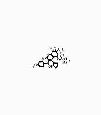 CC(C)c1nc2c(c(C3=CCCC3)c1C(O)c1ccc(C(F)(F)F)cc1)C(O[Si](C)(C)C(C)(C)C)CC(C)(C)C2